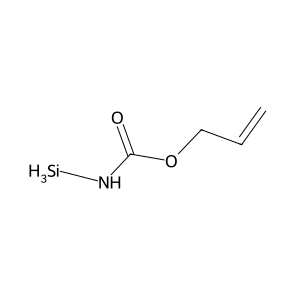 C=CCOC(=O)N[SiH3]